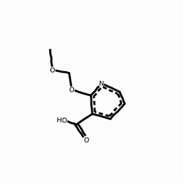 COCOc1ncccc1C(=O)O